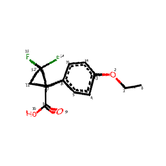 CCOc1ccc(C2(C(=O)O)CC2(F)F)cc1